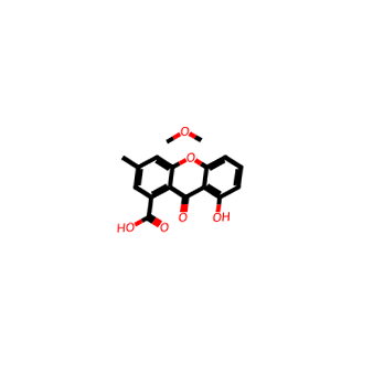 COC.Cc1cc(C(=O)O)c2c(=O)c3c(O)cccc3oc2c1